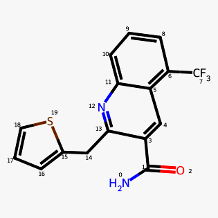 NC(=O)c1cc2c(C(F)(F)F)cccc2nc1Cc1cccs1